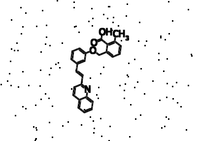 Cc1cccc(COc2cccc(/C=C/c3ccc4ccccc4n3)c2)c1C(=O)O